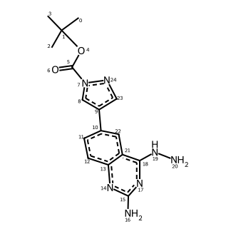 CC(C)(C)OC(=O)n1cc(-c2ccc3nc(N)nc(NN)c3c2)cn1